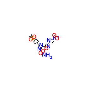 CC(C)S(=O)(=O)c1ccc(-c2cnc(OC(N)=O)c(-c3cc(-c4ccc([N+](=O)[O-])cn4)no3)n2)cc1